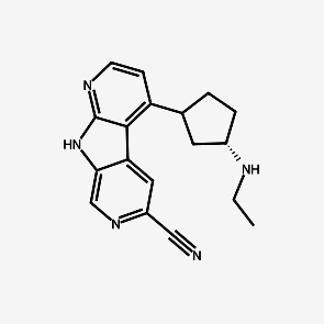 CCN[C@H]1CCC(c2ccnc3[nH]c4cnc(C#N)cc4c23)C1